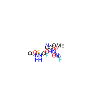 COc1cc2nccc(Oc3ccc(NC(=S)NC(=O)Cc4ccccc4)cc3F)c2cc1C(=O)NCC(=O)N1CC[C@H](F)C1